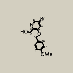 COc1ccc(COc2cc(Br)cnc2CO)cc1